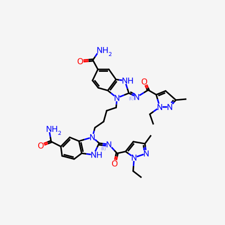 CCn1nc(C)cc1C(=O)/N=c1\[nH]c2cc(C(N)=O)ccc2n1CCCCn1/c(=N/C(=O)c2cc(C)nn2CC)[nH]c2ccc(C(N)=O)cc21